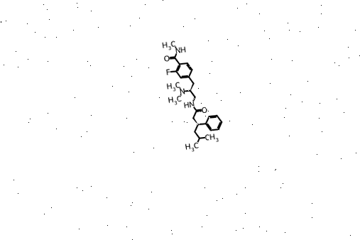 CNC(=O)c1ccc(C[C@@H](CNC(=O)C[C@H](CC(C)C)c2ccccc2)N(C)C)cc1F